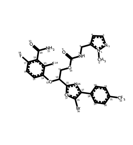 Cn1nccc1CNC(=O)OCC(Oc1ccc(F)c(C(N)=O)c1F)c1nc(-c2ccc(C(F)(F)F)cc2)c(Br)o1